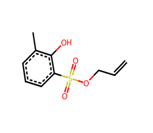 C=CCOS(=O)(=O)c1cccc(C)c1O